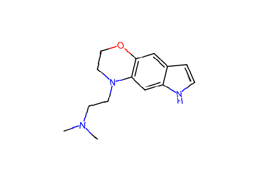 CN(C)CCN1CCOc2cc3cc[nH]c3cc21